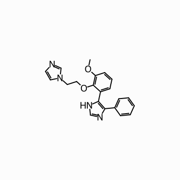 COc1cccc(-c2[nH]cnc2-c2ccccc2)c1OCCn1ccnc1